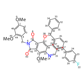 COc1ccc(CN2C(=O)c3c(c(OC)c4ncc(Cc5ccc(F)cc5)cc4c3OC(c3ccccc3)c3ccccc3)C2=O)c(OC)c1